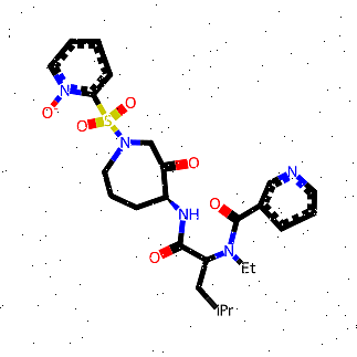 CCN(C(=O)c1cccnc1)C(CC(C)C)C(=O)N[C@H]1CCCN(S(=O)(=O)c2cccc[n+]2[O-])CC1=O